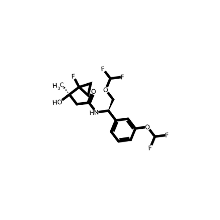 C[C@@](O)(CC(=O)N[C@@H](COC(F)F)c1cccc(OC(F)F)c1)C1(F)CC1